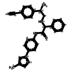 Cc1cnn(-c2ccc(NC(=O)C(NC[C@H](C)c3ccc(C#N)cc3)c3ccccc3)nc2)c1